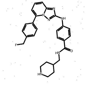 O=C(NCC1CCNCC1)c1ccc(Nc2nc3cccc(-c4ccc(CF)cc4)n3n2)cc1